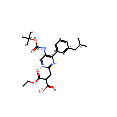 CCOC(=O)C(Cc1ncc(NC(=O)OC(C)(C)C)c(-c2cccc(CC(C)C)c2)n1)C(=O)O